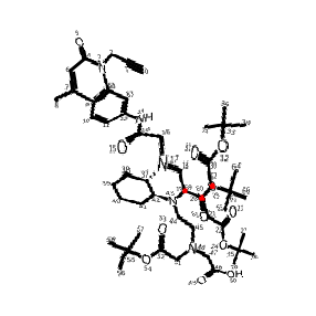 C#CCn1c(=O)cc(C)c2ccc(NC(=O)CN(CCN(CC(=O)OC(C)(C)C)CC(=O)OC(C)(C)C)[C@H]3CCCC[C@@H]3N(CCN(CC(=O)O)CC(=O)OC(C)(C)C)CC(=O)OC(C)(C)C)cc21